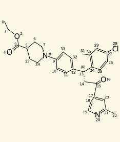 CCOC(=O)C1CCN(c2ccc([C@@H](CC(=O)c3ccnc(C)c3)c3ccc(Cl)cc3C)cc2)CC1